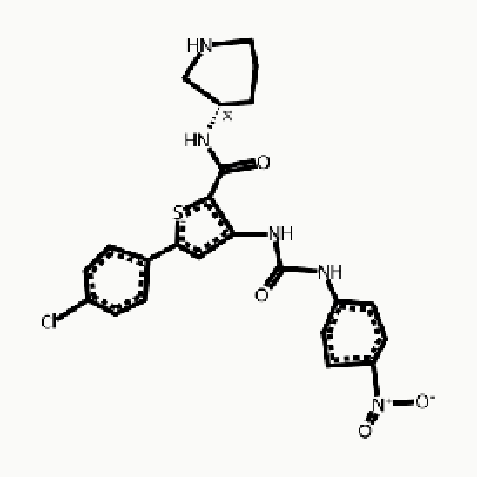 O=C(Nc1ccc([N+](=O)[O-])cc1)Nc1cc(-c2ccc(Cl)cc2)sc1C(=O)N[C@H]1CCCNC1